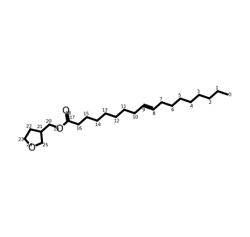 CCCCCCCCC=CCCCCCCCC(=O)OCC1CCOC1